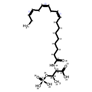 CC/C=C\C/C=C\C/C=C\CCCCCCCC(=O)N[C@H](C(=O)O)[C@@H](C)OP(=O)(O)O